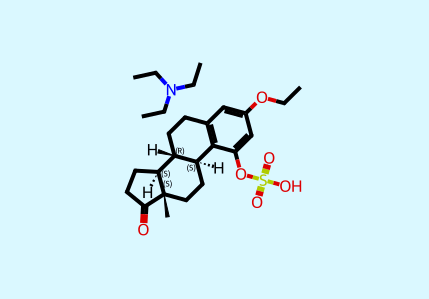 CCN(CC)CC.CCOc1cc2c(c(OS(=O)(=O)O)c1)[C@H]1CC[C@]3(C)C(=O)CC[C@H]3[C@@H]1CC2